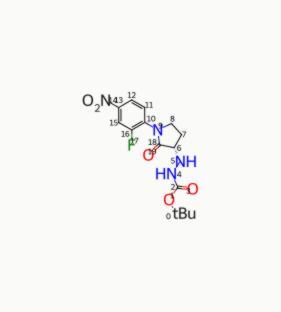 CC(C)(C)OC(=O)NN[C@H]1CCN(c2ccc([N+](=O)[O-])cc2F)C1=O